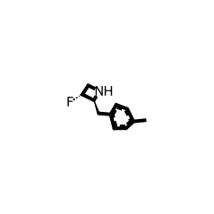 Cc1ccc(C[C@@H]2NC[C@H]2F)cc1